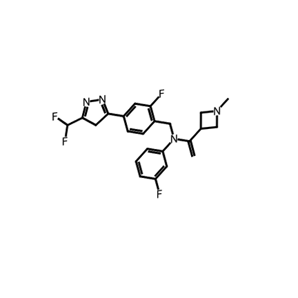 C=C(C1CN(C)C1)N(Cc1ccc(C2=NN=C(C(F)F)C2)cc1F)c1cccc(F)c1